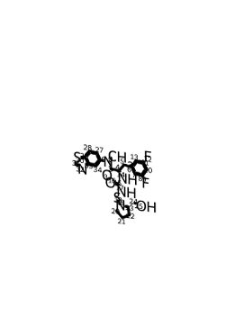 CN(C(=O)C(Cc1cc(F)cc(F)c1)NC(=O)NSN1CCC[C@H]1CO)c1ccc2scnc2c1